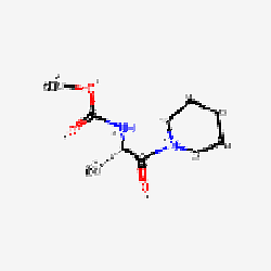 CCC(C)[C@H](NC(=O)OC(C)(C)C)C(=O)N1CCCCC1